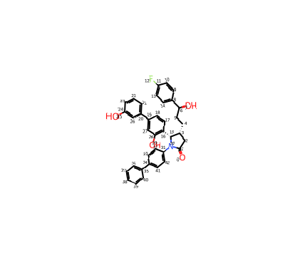 O=C1C[C@@H](CC[C@H](O)c2ccc(F)cc2)[C@@H](c2ccc(-c3cccc(O)c3)cc2O)N1c1ccc(-c2ccccc2)cc1